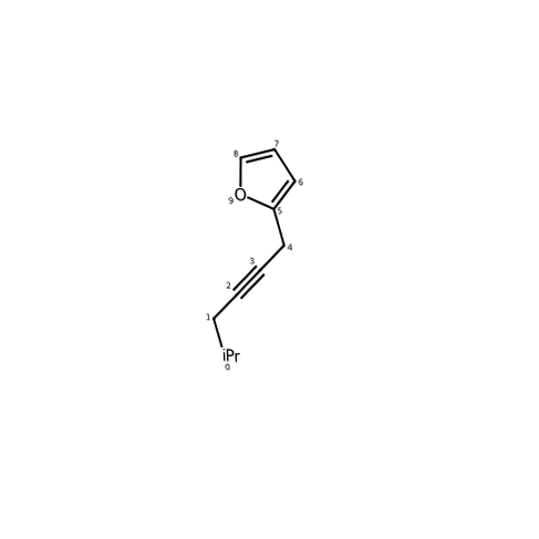 CC(C)CC#CCc1ccco1